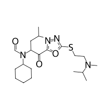 CC(C)CC(C(=O)c1nnc(SCCN(C)C(C)C)o1)N(C=O)C1CCCCC1